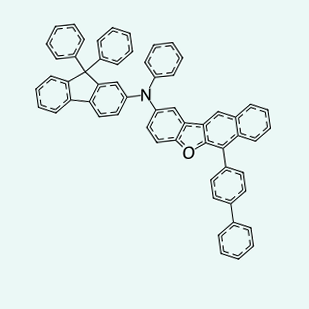 c1ccc(-c2ccc(-c3c4ccccc4cc4c3oc3ccc(N(c5ccccc5)c5ccc6c(c5)C(c5ccccc5)(c5ccccc5)c5ccccc5-6)cc34)cc2)cc1